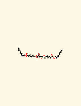 CCCCCC/C=C\COC(=O)CCCCCOC(=O)CCC(=O)C(=O)OCCCCCC(=O)OC/C=C\CCCCCC